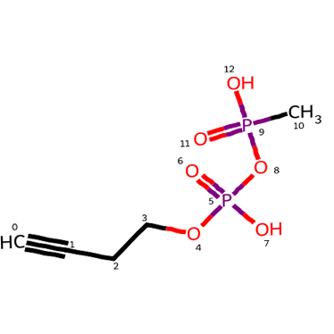 C#CCCOP(=O)(O)OP(C)(=O)O